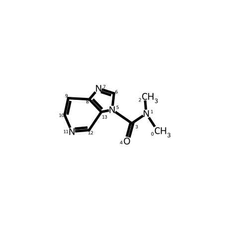 CN(C)C(=O)n1cnc2ccncc21